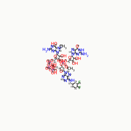 CO[C@H]1C(OP(=O)(O)OC[C@H]2O[C@@H](n3cnc4c(=O)[nH]c(N)nc43)[C@@H](O)C2O)[C@@H](COP(=O)(O)OP(=O)(O)OP(=O)(O)OC[C@H]2O[C@@H](n3c[n+](C)c4c(O)nc(N)nc43)C(O)C2O)O[C@H]1n1cnc2c(NCc3ccc(F)c(F)c3)ncnc21